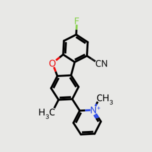 Cc1cc2oc3cc(F)cc(C#N)c3c2cc1-c1cccc[n+]1C